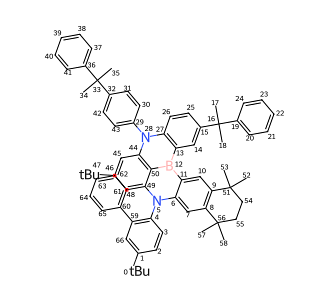 CC(C)(C)c1ccc(N2c3cc4c(cc3B3c5cc(C(C)(C)c6ccccc6)ccc5N(c5ccc(C(C)(C)c6ccccc6)cc5)c5cc(C(C)(C)C)cc2c53)C(C)(C)CCC4(C)C)c(-c2ccccc2)c1